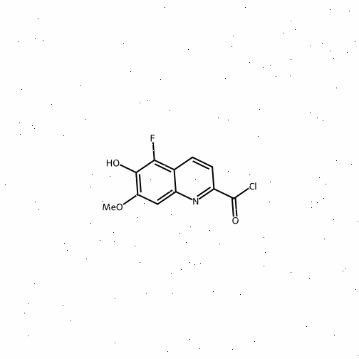 COc1cc2nc(C(=O)Cl)ccc2c(F)c1O